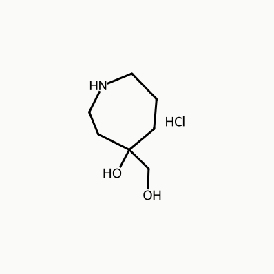 Cl.OCC1(O)CCCNCC1